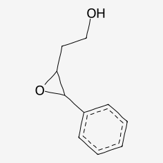 OCCC1OC1c1ccccc1